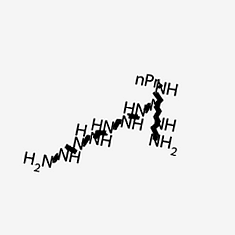 CCCNCCN(CCNCCN)CCNCCNCCNCCNCCNCCNCCN